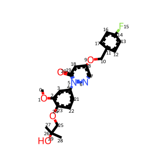 COc1cc(-n2ncc(OCc3ccc(F)cc3)cc2=O)ccc1OCC(C)(C)O